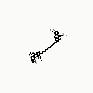 CCC(c1ccc(CCCCCCCCCCCc2ccc(C(CC)c3ccc(N)cc3C)cc2)cc1)c1ccc(N)cc1C